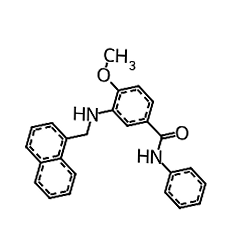 COc1ccc(C(=O)Nc2ccccc2)cc1NCc1cccc2ccccc12